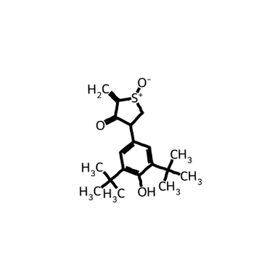 C=C1C(=O)C(c2cc(C(C)(C)C)c(O)c(C(C)(C)C)c2)C[S+]1[O-]